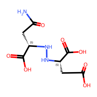 NC(=O)C[C@H](NN[C@@H](CC(=O)O)C(=O)O)C(=O)O